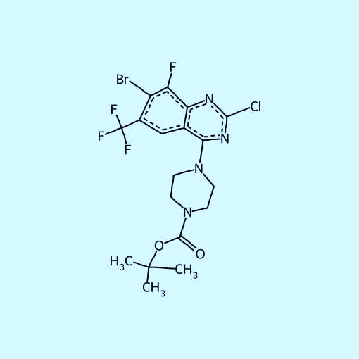 CC(C)(C)OC(=O)N1CCN(c2nc(Cl)nc3c(F)c(Br)c(C(F)(F)F)cc23)CC1